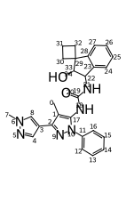 Cc1c(-c2cnn(C)c2)nn(-c2ccccc2)c1NC(=O)NC1c2ccccc2C2(CCC2)[C@@H]1O